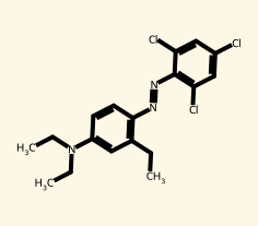 CCc1cc(N(CC)CC)ccc1N=Nc1c(Cl)cc(Cl)cc1Cl